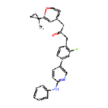 O=C(CC1=C=COC(C2(C(F)(F)F)CC2)=C1)Cc1ccc(-c2ccc(Nc3ccccc3)nc2)cc1F